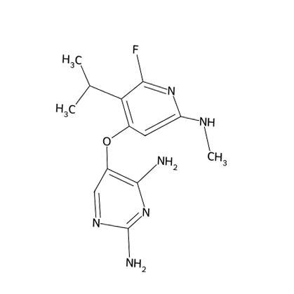 CNc1cc(Oc2cnc(N)nc2N)c(C(C)C)c(F)n1